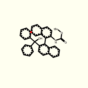 CC(C)(C)OC(=O)Nc1ccc2ccccc2c1-c1c(C(O)(c2ccccc2)c2ccccc2)ccc2ccccc12